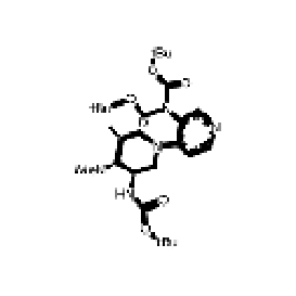 CN[C@H]1[C@@H](C)CN(c2ccncc2N(C(=O)OC(C)(C)C)C(=O)OC(C)(C)C)C[C@H]1NC(=O)OC(C)(C)C